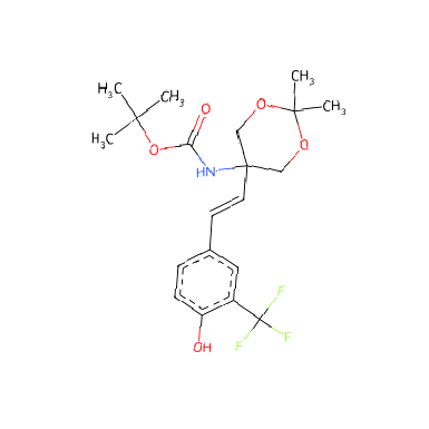 CC(C)(C)OC(=O)NC1(C=Cc2ccc(O)c(C(F)(F)F)c2)COC(C)(C)OC1